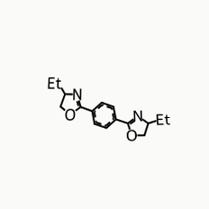 CCC1COC(c2ccc(C3=NC(CC)CO3)cc2)=N1